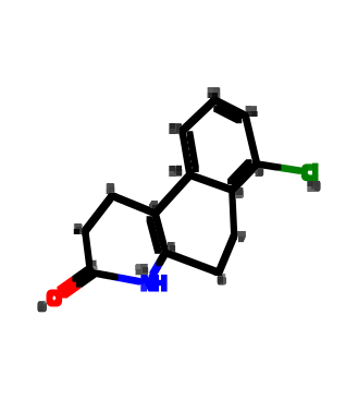 O=C1CCC2=C(CCc3c(Cl)cccc32)N1